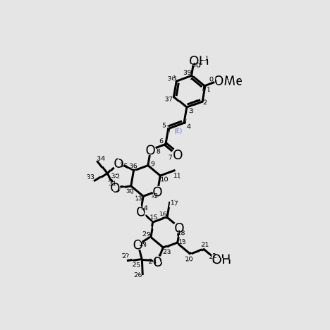 COc1cc(/C=C/C(=O)OC2C(C)OC(OC3C(C)OC(CCO)C4OC(C)(C)OC34)C3OC(C)(C)OC23)ccc1O